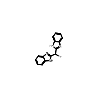 CCC(c1nc2ccccc2[nH]1)c1nc2ccccc2[nH]1